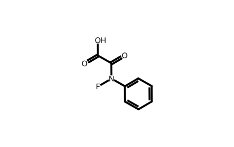 O=C(O)C(=O)N(F)c1ccccc1